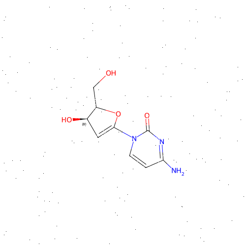 Nc1ccn(C2=C[C@@H](O)C(CO)O2)c(=O)n1